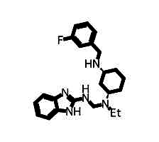 CCN(CNc1nc2ccccc2[nH]1)[C@H]1CCC[C@@H](NCc2cccc(F)c2)C1